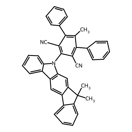 Cc1c(-c2ccccc2)c(C#N)c(-n2c3ccccc3c3cc4c(cc32)C(C)(C)c2ccccc2-4)c(C#N)c1-c1ccccc1